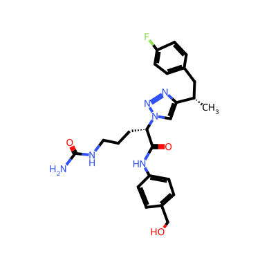 C[C@@H](Cc1ccc(F)cc1)c1cn([C@@H](CCCNC(N)=O)C(=O)Nc2ccc(CO)cc2)nn1